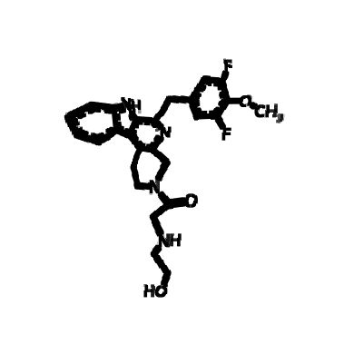 COc1c(F)cc(Cc2nc3c(c4c2[nH]c2ccccc24)CCN(C(=O)CNCCO)C3)cc1F